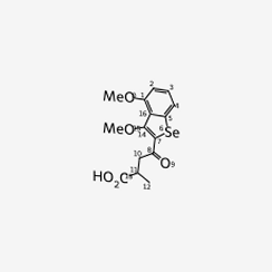 COc1cccc2[se]c(C(=O)CC(C)C(=O)O)c(OC)c12